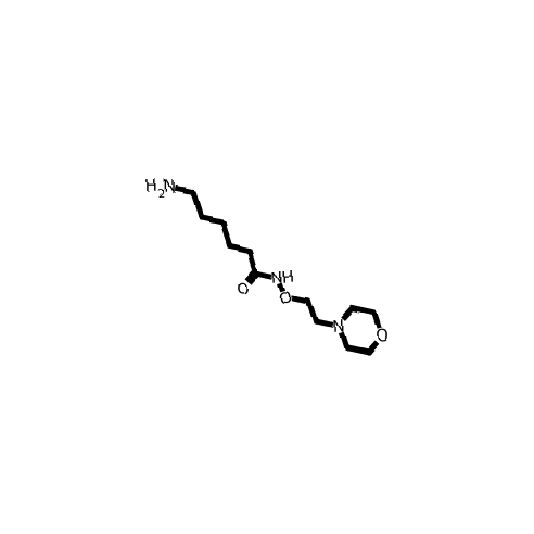 NCCCCCC(=O)NOCCN1CCOCC1